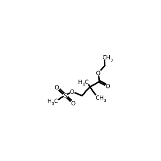 CCOC(=O)C(C)(C)COS(C)(=O)=O